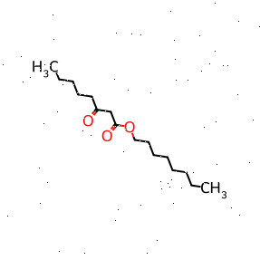 CCCCCCCCOC(=O)CC(=O)CCCCC